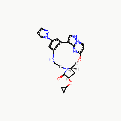 O=C1[C@H](OC2CC2)C[C@H]2COc3ccn4ncc(c4n3)-c3cc(cc(-n4cccn4)c3)NCCN12